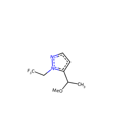 COC(C)c1[c]cnn1CC(F)(F)F